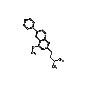 COc1cc(CCC(C)C)nc2ccc(-c3ccncc3)cc12